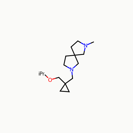 CC(C)OCC1(CN2CCC3(CCN(C)C3)C2)CC1